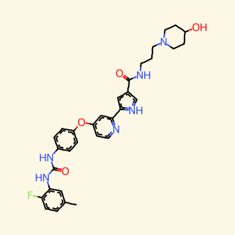 Cc1ccc(F)c(NC(=O)Nc2ccc(Oc3ccnc(-c4cc(C(=O)NCCCN5CCC(O)CC5)c[nH]4)c3)cc2)c1